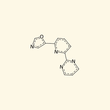 c1cnc(-c2cccc(-c3cnco3)n2)nc1